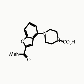 CNC(=O)c1cc2c(N3CCN(C(=O)O)CC3)cccc2o1